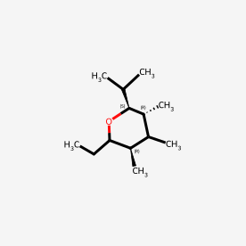 CCC1O[C@@H](C(C)C)[C@H](C)C(C)[C@H]1C